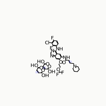 O=C(/C=C/CN1CCCCC1)Nc1cc2c(Nc3ccc(F)c(Cl)c3F)ncnc2cc1OCCOC(F)F.O=C(O)/C=C\C(=O)O.O=C(O)/C=C\C(=O)O